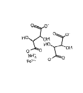 O=C([O-])C(O)C(O)C(=O)[O-].O=C([O-])C(O)C(O)C(=O)[O-].[Fe+3].[NH4+]